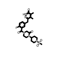 Cc1c(Cc2ccc(F)c(C(=O)N3CCN(C4CCN(S(C)(=O)=O)CC4)C(=O)C3)c2)n[nH]c(=O)c1C